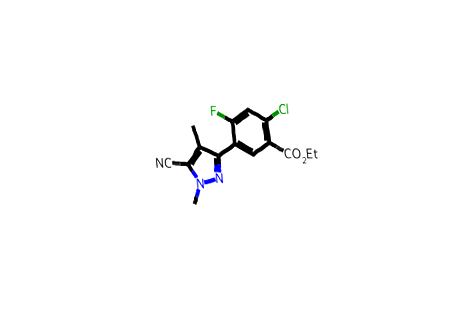 CCOC(=O)c1cc(-c2nn(C)c(C#N)c2C)c(F)cc1Cl